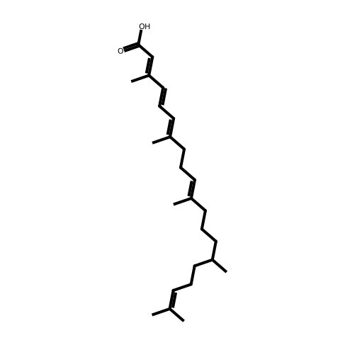 CC(C)=CCCC(C)CCC/C(C)=C/CC/C(C)=C/C=C/C(C)=C/C(=O)O